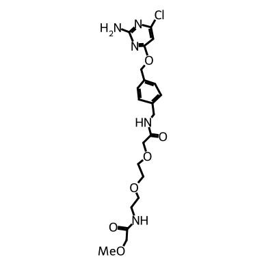 COCC(=O)NCCOCCOCC(=O)NCc1ccc(COc2cc(Cl)nc(N)n2)cc1